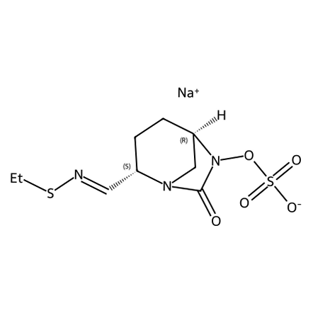 CCSN=C[C@@H]1CC[C@@H]2CN1C(=O)N2OS(=O)(=O)[O-].[Na+]